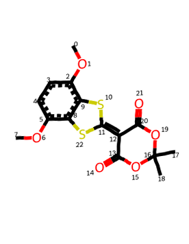 COc1ccc(OC)c2c1SC(=C1C(=O)OC(C)(C)OC1=O)S2